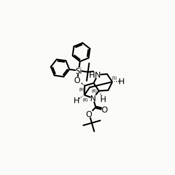 CC(C)(C)OC(=O)N1[C@@H]2C[C@@H]3CNC2[C@@H](O[Si](c2ccccc2)(c2ccccc2)C(C)(C)C)[C@H]1C3